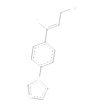 OC/C=C(\F)c1ccc(-n2ccnc2)cc1